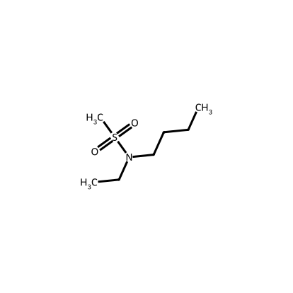 CCCCN(CC)S(C)(=O)=O